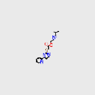 CC(C)/C=N/CCOC(=O)CSc1nccc(-c2ccccn2)n1